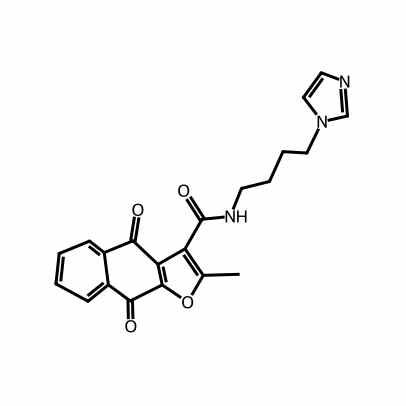 Cc1oc2c(c1C(=O)NCCCCn1ccnc1)C(=O)c1ccccc1C2=O